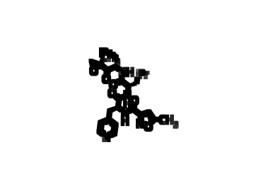 Cc1cc(C(=O)N[C@@H](Cc2ccncc2)C(=O)N[C@@H](CC(C)C)C(=O)N[C@@H](CC(C)C)C(=O)[C@@]2(C)CO2)no1